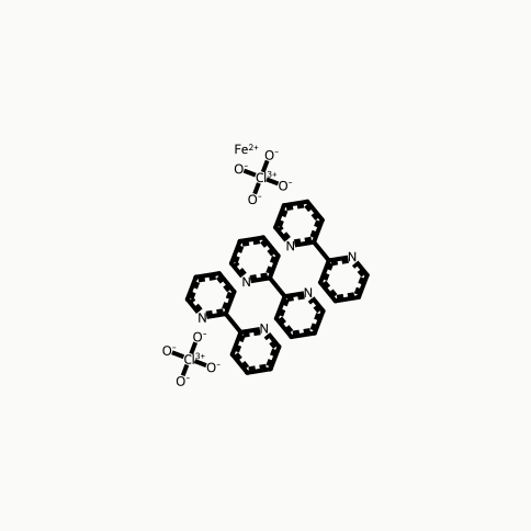 [Fe+2].[O-][Cl+3]([O-])([O-])[O-].[O-][Cl+3]([O-])([O-])[O-].c1ccc(-c2ccccn2)nc1.c1ccc(-c2ccccn2)nc1.c1ccc(-c2ccccn2)nc1